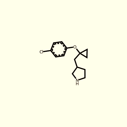 Clc1ccc(OC2(CC3CCNC3)CC2)cc1